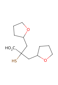 O=C(O)C(S)(CC1CCCO1)CC1CCCO1